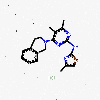 Cc1csc(Nc2nc(C)c(C)c(N3CCc4ccccc4C3)n2)n1.Cl